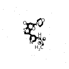 C=CS(=O)(=O)Nc1cncc(-c2csc3c(=O)cc(N4CCOCC4)oc23)c1